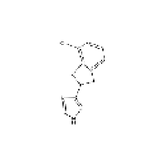 Clc1cccc2c1CC(c1c[nH]cn1)C2